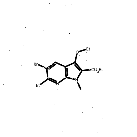 CCOC(=O)c1c(OCC)c2cc(Br)c(CC)nc2n1C